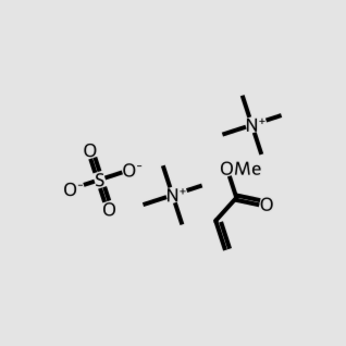 C=CC(=O)OC.C[N+](C)(C)C.C[N+](C)(C)C.O=S(=O)([O-])[O-]